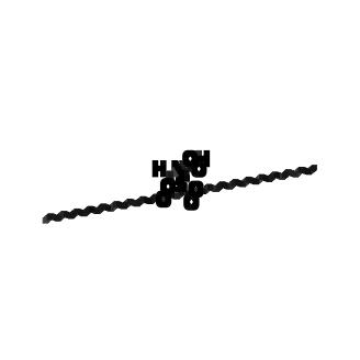 CCCCCCCCCCCCCCCCCCOC(=O)CC(SCC(N)C(=O)O)C(=O)OCCCCCCCCCCCCCCCCCC